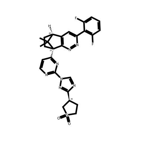 CC1(C)[C@H]2CC[C@]1(c1ccnc(-n3cnc([C@H]4CCS(=O)(=O)C4)n3)n1)c1nnc(-c3c(F)cccc3F)cc12